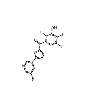 O=C(c1ccc(-c2cncc(F)c2)s1)c1cc(F)c(F)c(O)c1F